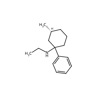 CCNC1(c2ccccc2)CCC[C@@H](C)C1